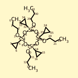 CCCO[Si]1(C2CC2)O[Si](OCCC)(C2CC2)O[Si](OCCC)(C2CC2)O[Si](OCCC)(C2CC2)O1